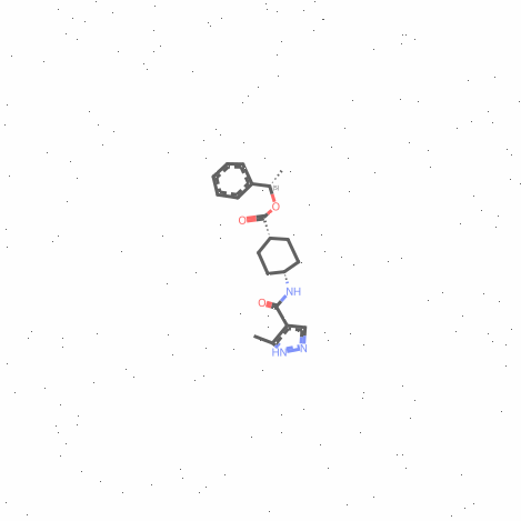 Cc1[nH]ncc1C(=O)N[C@H]1CC[C@@H](C(=O)O[C@@H](C)c2ccccc2)CC1